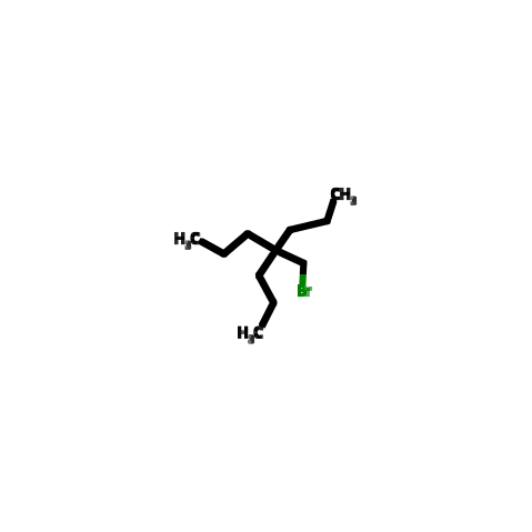 CCCC(CBr)(CCC)CCC